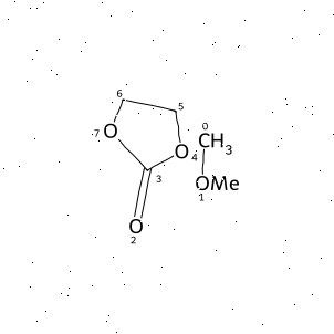 COC.O=C1OCCO1